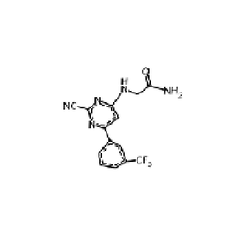 N#Cc1nc(NCC(N)=O)cc(-c2cccc(C(F)(F)F)c2)n1